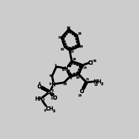 CNS(=O)(=O)N1CCn2c(c(C(N)=O)c(Cl)c2-c2ccccc2)C1